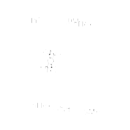 CCCCCCCCC1C(CCCCCC)CC(CCCCCCCCC(C)(C)n2c(=O)c3cc4c(=O)n(CCCCCCCCC5CC(CCCCCC)C(CCCCCCCC)C(CCCCCCCCC(C)(C)C(C)C)C5)c(=O)c4cc3c2=O)CC1CCCCCCCCSC